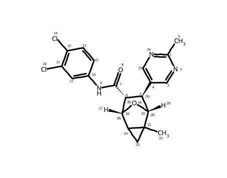 Cc1ncc([C@@H]2[C@@H](C(=O)Nc3ccc(Cl)c(Cl)c3)[C@@H]3O[C@H]2C2(C)CC32)cn1